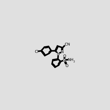 N#Cc1cc(-c2ccc(Cl)cc2)n(-c2ccccc2S(N)(=O)=O)n1